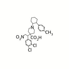 Cc1ccc(C2CCCCC2N2CCC(C(=O)O)(C(C[N+](=O)[O-])c3ccc(Cl)c(Cl)c3)CC2)cc1